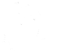 COCCn1ccc2nc(N)nc(NCc3cc(C)on3)c21